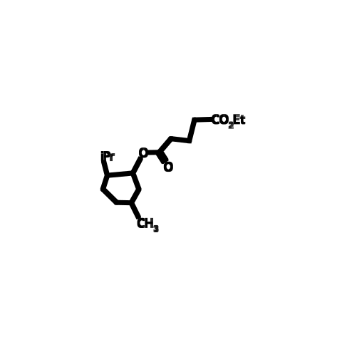 CCOC(=O)CCCC(=O)OC1CC(C)CCC1C(C)C